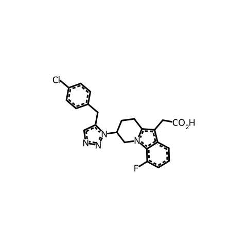 O=C(O)Cc1c2n(c3c(F)cccc13)CC(n1nncc1Cc1ccc(Cl)cc1)CC2